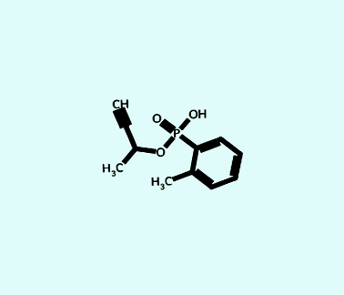 C#CC(C)OP(=O)(O)c1ccccc1C